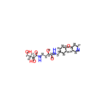 CC(C)(CO)[C@@H](O)C(=O)NCCC(=O)C(=O)NCc1ccc(Oc2ccncc2)cc1